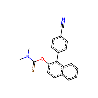 CN(C)C(=S)Oc1ccc2ccccc2c1-c1ccc(C#N)cc1